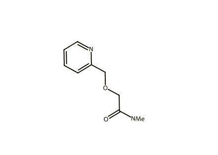 CNC(=O)COCc1ccccn1